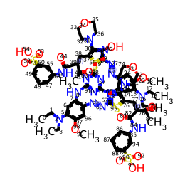 CCN(CC)c1cc(Nc2nc(Nc3cc(N(CC)CC)c(OC)cc3/N=N/c3nc(N4CCOCC4)c(/C=C(\C(C)=O)C(=O)Nc4cccc(S(=O)(=O)O)c4)s3)nc(SCCO)n2)c(/N=N/c2nc(N3CCOCC3)c(/C=C(/C(C)=O)C(=O)Nc3cccc(S(=O)(=O)O)c3)s2)cc1OC